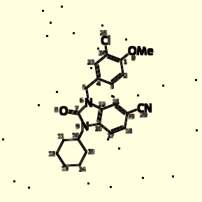 COc1ccc(Cn2c(=O)n(C3CCCCC3)c3ccc(C#N)cc32)cc1Cl